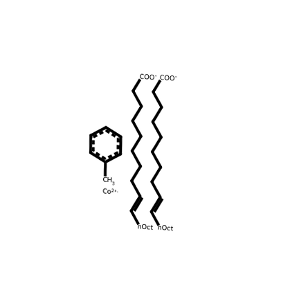 CCCCCCCCC=CCCCCCCCC(=O)[O-].CCCCCCCCC=CCCCCCCCC(=O)[O-].Cc1ccccc1.[Co+2]